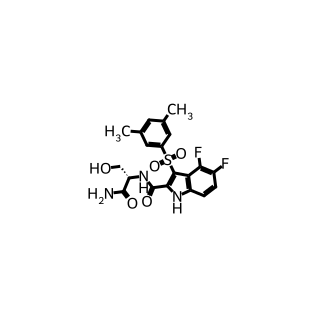 Cc1cc(C)cc(S(=O)(=O)c2c(C(=O)N[C@@H](CO)C(N)=O)[nH]c3ccc(F)c(F)c23)c1